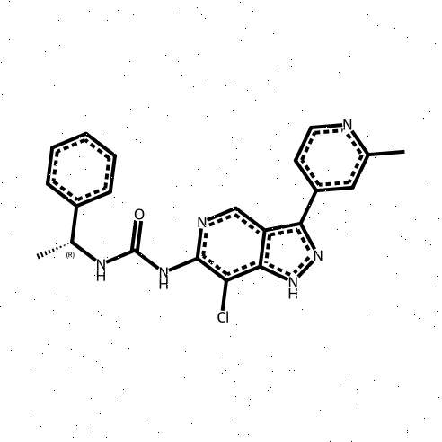 Cc1cc(-c2n[nH]c3c(Cl)c(NC(=O)N[C@H](C)c4ccccc4)ncc23)ccn1